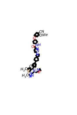 COc1cc(OC2CCC(NC(=O)c3ccc(N4CCC5(CCC(c6ccc(C7=N[C@@H](Cc8ncco8)c8nnc(C)n8-c8sc(C)c(C)c87)cc6)CC5)C4)nn3)CC2)ccc1C#N